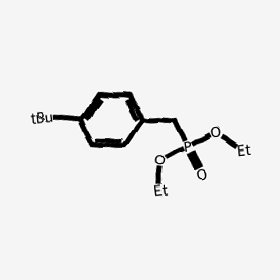 CCOP(=O)(Cc1ccc(C(C)(C)C)cc1)OCC